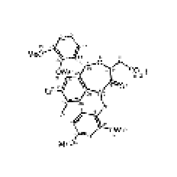 COc1ccc(CN2C(=O)[C@H](CC(=O)O)O[C@@H](c3cccc(OC)c3OC)c3cc(Cl)c(C)cc32)c(OC)c1